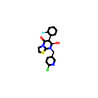 O=c1c(-c2ccccc2F)c(O)n(Cc2ccc(Cl)nc2)c2scc[n+]12